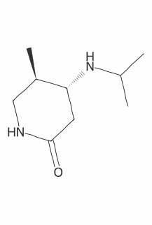 CC(C)N[C@@H]1CC(=O)NC[C@H]1C